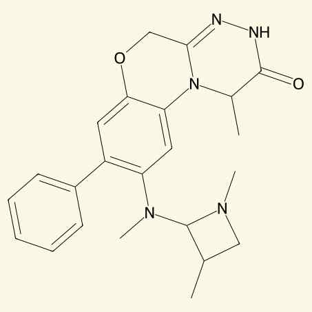 CC1CN(C)C1N(C)c1cc2c(cc1-c1ccccc1)OCC1=NNC(=O)C(C)N12